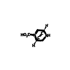 O=C(O)N1C[C@@H]2CC[C@H]1CN2